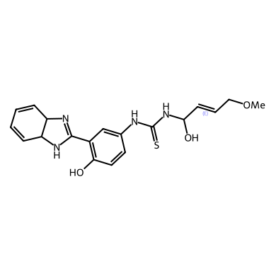 COC/C=C/C(O)NC(=S)Nc1ccc(O)c(C2=NC3C=CC=CC3N2)c1